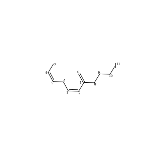 C=C(/C=C\C/C=C\C)CCCI